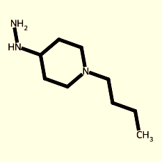 CCCCN1CCC(NN)CC1